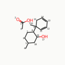 CC(=O)O.CC1CCC(C2(C)C=CC=CC2)C(O)C1